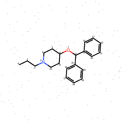 CCCN1CCC(OC(c2ccccc2)c2ccccc2)CC1